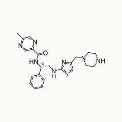 Cc1cnc(C(=O)N[C@H](CNc2nc(CN3CCNCC3)cs2)c2ccccc2)cn1